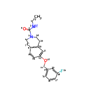 CCNC(=O)N1CCc2ccc(OCc3cccc(F)c3)cc2CC1